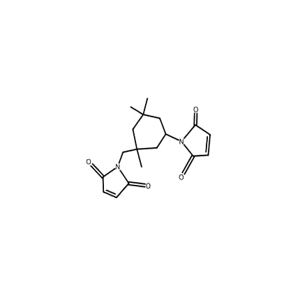 CC1(C)CC(N2C(=O)C=CC2=O)CC(C)(CN2C(=O)C=CC2=O)C1